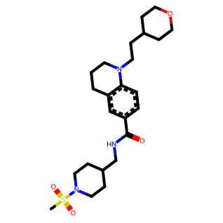 CS(=O)(=O)N1CCC(CNC(=O)c2ccc3c(c2)CCCN3CCC2CCOCC2)CC1